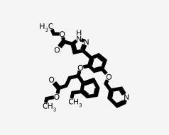 CCOC(=O)CCC(Oc1cc(OCc2cccnc2)ccc1-c1cc(C(=O)OCC)[nH]n1)c1ccccc1CC